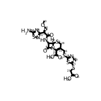 CO/N=C(/C(=O)NC1C(=O)N2C(C(=O)O)=C(CSc3nnc(SCC(=O)O)s3)CS[C@H]12)c1nsc(N)n1